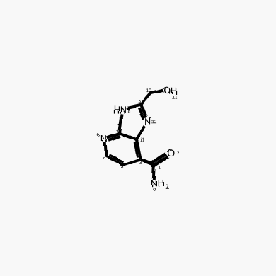 NC(=O)c1ccnc2[nH]c(CO)nc12